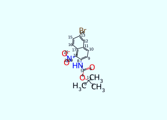 CC(C)(C)OC(=O)Nc1ccc2cc(Br)ccc2c1[N+](=O)[O-]